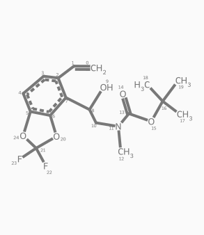 C=Cc1ccc2c(c1C(O)CN(C)C(=O)OC(C)(C)C)OC(F)(F)O2